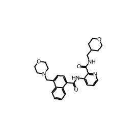 O=C(NCC1CCOCC1)c1ncccc1NC(=O)c1ccc(CN2CCOCC2)c2ccccc12